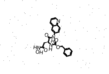 O=C(C[C@H](NC(=O)OCc1ccccc1)C(=O)Nc1ccc2ncccc2c1)NO